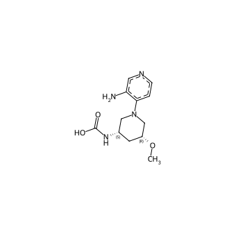 CO[C@@H]1C[C@H](NC(=O)O)CN(c2ccncc2N)C1